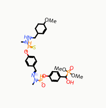 COC1C=CC(CNN(C)[PH](=S)Oc2ccc(/C=N/N(C)[PH](=O)Oc3ccc(C(O)P(=O)(OC)OC)cc3)cc2)CC1